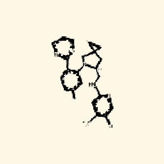 Cc1c[c]c(-c2ncccn2)c(N2CC3(CC3)C[C@H]2CNc2cc(C(F)(F)F)c(Cl)cn2)c1